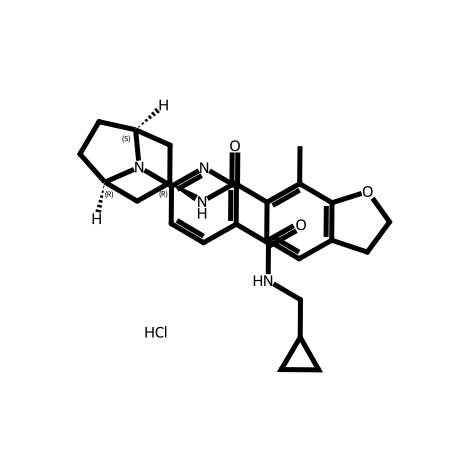 Cc1c(C(=O)N[C@H]2C[C@H]3CC[C@@H](C2)N3c2ccc(C(=O)NCC3CC3)cn2)ccc2c1OCC2.Cl